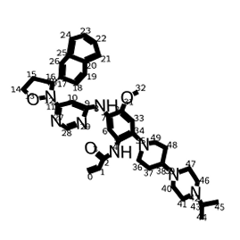 C=CC(=O)Nc1cc(Nc2cc(N3OCC[C@@H]3c3ccc4ccccc4c3)ncn2)c(OC)cc1N1CCC(N2CCN(C(C)C)CC2)CC1